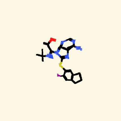 CC(O)C(NC(C)(C)C)n1c(Sc2cc3c(cc2I)CCC3)nc2c(N)ncnc21